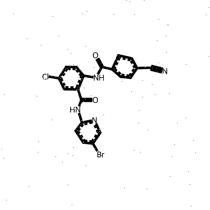 N#Cc1ccc(C(=O)Nc2ccc(Cl)cc2C(=O)Nc2ccc(Br)cn2)cc1